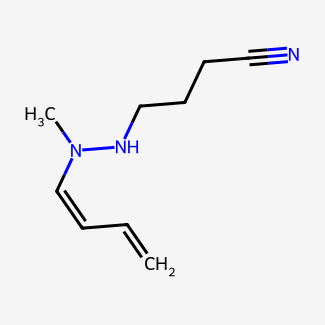 C=C/C=C\N(C)NCCCC#N